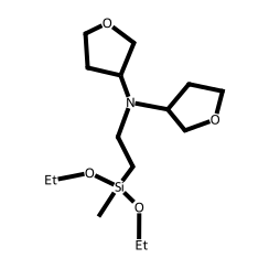 CCO[Si](C)(CCN(C1CCOC1)C1CCOC1)OCC